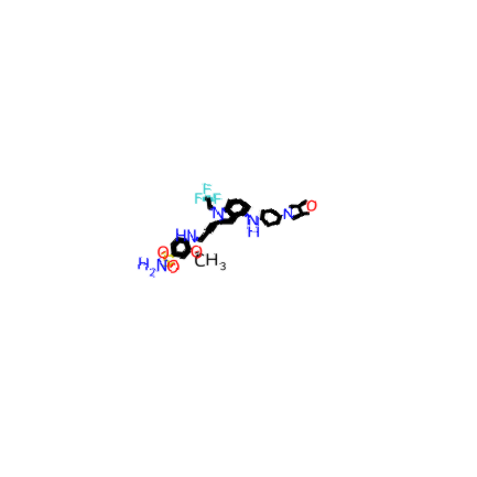 COc1cc(S(N)(=O)=O)ccc1NCC#Cc1cc2c(N[C@H]3CC[C@@H](N4CC5COCC5C4)CC3)cccc2n1CC(F)(F)F